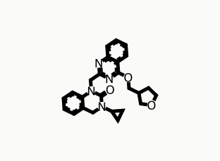 O=C1N(Cc2nc(OCC3CCOC3)c3ccccc3n2)c2ccccc2CN1C1CC1